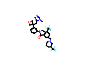 Cn1cnnc1CC1(c2cccc(N3Cc4c(cc(CN5CCCC(C(F)(F)F)C5)cc4C(F)(F)F)C3=O)c2)COC1